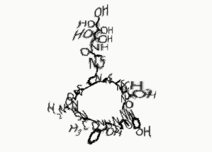 Cc1sc2nc1C(=O)N[C@@H]([C@H](O)c1ccccc1)c1nc(cs1)C(=O)N[C@@H](Cc1ccc(O)cc1)C(=O)N1C[C@H](O)[C@H](C)[C@H]1c1nc(cs1)-c1nc(cs1)-c1nc(-c3nc(C(=O)NC[C@@H](O)[C@H](O)[C@@H](O)[C@@H](O)CO)cs3)ccc1-c1nc(cs1)C(=O)N[C@H]2CC(N)=O